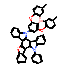 Cc1ccc2c(c1)B1c3cc(C)ccc3Oc3cc(-n4c5ccccc5c5c6oc7ccccc7c6c6c(c7ccccc7n6-c6ccccc6)c54)cc(c31)O2